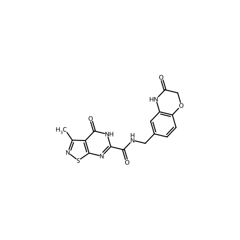 Cc1nsc2nc(C(=O)NCc3ccc4c(c3)NC(=O)CO4)[nH]c(=O)c12